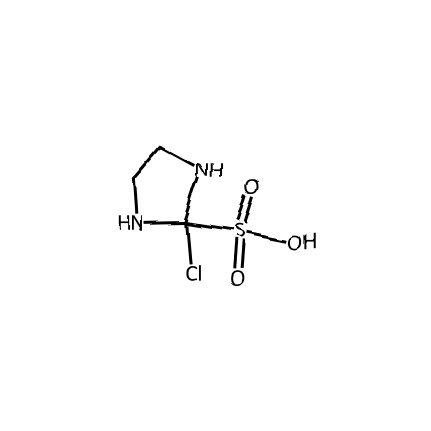 O=S(=O)(O)C1(Cl)NCCN1